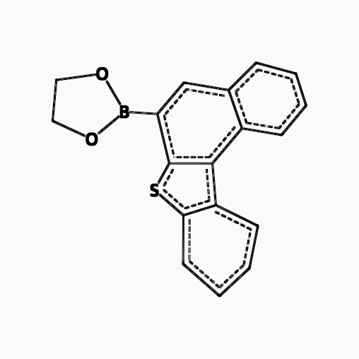 c1ccc2c(c1)cc(B1OCCO1)c1sc3ccccc3c12